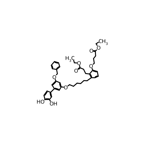 CCOC(=O)CCCOc1cccc(CCCCCCOc2cc(OCc3ccccc3)cc(-c3ccc(O)c(O)c3)c2)c1CCC(=O)OCC